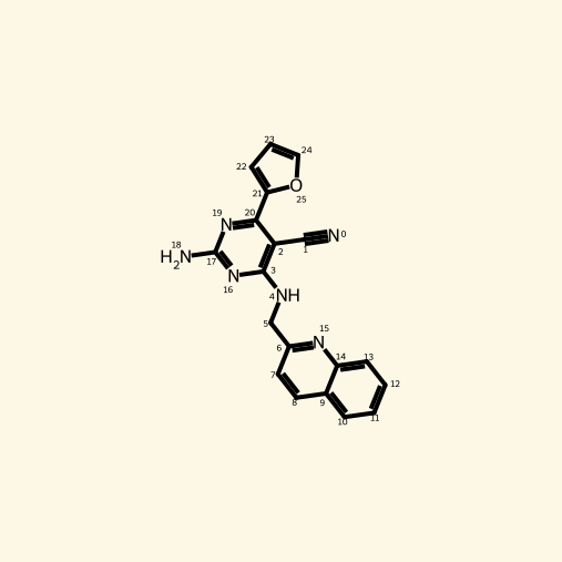 N#Cc1c(NCc2ccc3ccccc3n2)nc(N)nc1-c1ccco1